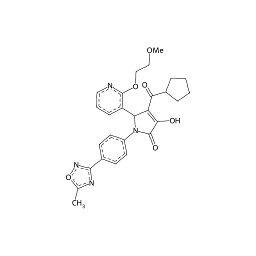 COCCOc1ncccc1C1C(C(=O)C2CCCC2)=C(O)C(=O)N1c1ccc(-c2noc(C)n2)cc1